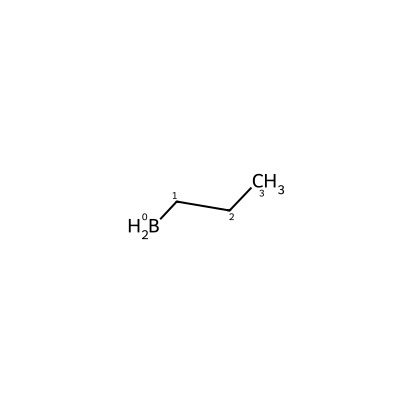 BCCC